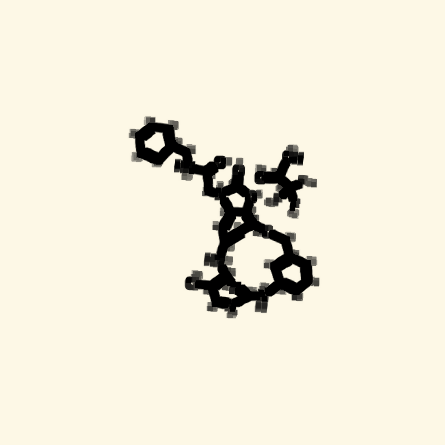 O=C(Cn1c(=O)oc2c3cc(cc21)Nc1nc(ncc1Cl)Nc1cccc(c1)CC3)NCc1ccccc1.O=C(O)C(F)(F)F